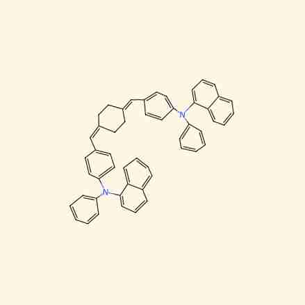 C(=C1CCC(=Cc2ccc(N(c3ccccc3)c3cccc4ccccc34)cc2)CC1)c1ccc(N(c2ccccc2)c2cccc3ccccc23)cc1